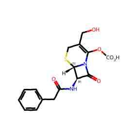 O=C(Cc1ccccc1)N[C@@H]1C(=O)N2C(OC(=O)O)=C(CO)CS[C@@H]12